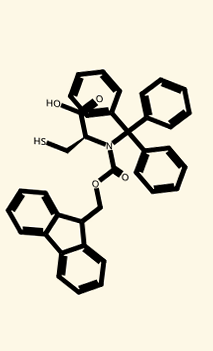 O=C(O)[C@H](CS)N(C(=O)OCC1c2ccccc2-c2ccccc21)C(c1ccccc1)(c1ccccc1)c1ccccc1